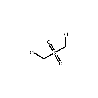 O=S(=O)(CCl)CCl